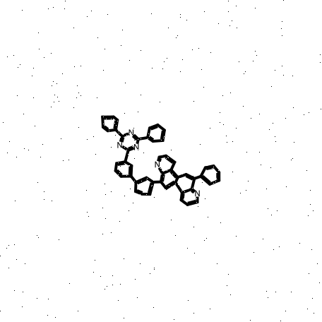 c1ccc(-c2nc(-c3ccccc3)nc(-c3cccc(-c4cccc(-c5cc6c7cccnc7c(-c7ccccc7)cc6c6cccnc56)c4)c3)n2)cc1